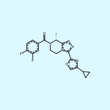 C[C@@H]1c2nnc(-c3nc(C4CC4)co3)n2CCN1C(=O)c1ccc(F)c(F)c1